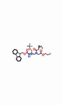 BCC(=O)N(CC(=O)OCCI)C[C@H](COC(C)(C)C)NC(=O)OCC1c2ccccc2-c2ccccc21